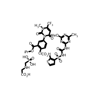 CC(C)OC(=O)c1cc(-n2c(=O)cc(C(F)(F)F)n(C)c2=O)ccc1Cl.COc1nc(C)nc(NC(=O)NS(=O)(=O)c2ccsc2C(=O)O)n1.O=C(O)CNCP(=O)(O)O